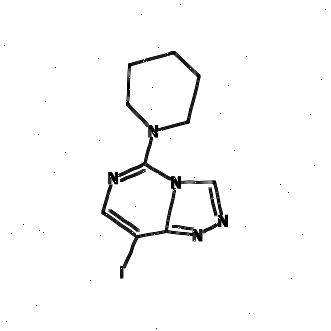 Ic1cnc(N2CCCCC2)n2cnnc12